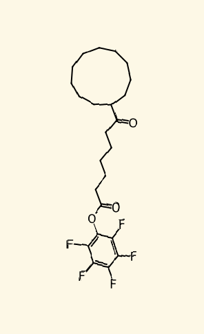 O=C(CCCCCC(=O)C1CCCCCCCCCC1)Oc1c(F)c(F)c(F)c(F)c1F